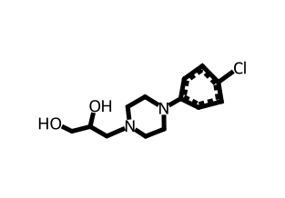 OCC(O)CN1CCN(c2ccc(Cl)cc2)CC1